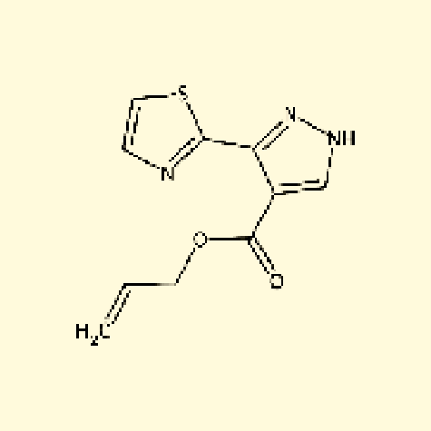 C=CCOC(=O)c1c[nH]nc1-c1nccs1